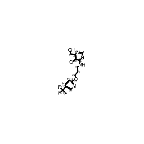 CCc1ncnc(NCCCOc2ccc(C(F)(F)F)cn2)c1Cl